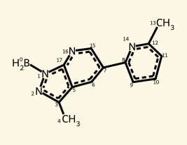 Bn1nc(C)c2cc(-c3cccc(C)n3)cnc21